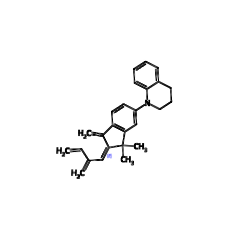 C=CC(=C)/C=C1\C(=C)c2ccc(N3CCCc4ccccc43)cc2C1(C)C